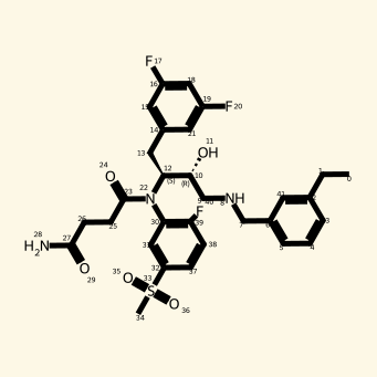 CCc1cccc(CNC[C@@H](O)[C@H](Cc2cc(F)cc(F)c2)N(C(=O)CCC(N)=O)c2cc(S(C)(=O)=O)ccc2F)c1